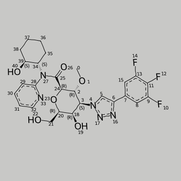 CO[C@@H]1[C@@H](n2cc(-c3cc(F)c(F)c(F)c3)nn2)[C@@H](O)[C@@H](CO)O[C@H]1C(=O)N(c1ccccn1)[C@H]1CCCC[C@@H]1O